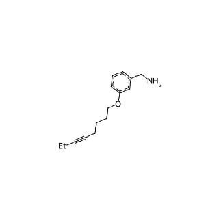 CCC#CCCCCOc1cccc(CN)c1